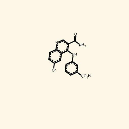 NC(=O)c1cnc2ccc(Br)cc2c1Nc1cccc(C(=O)O)c1